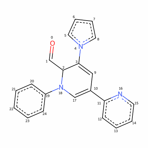 O=CC1C(n2cccc2)=CC(c2ccccn2)=CN1c1ccccc1